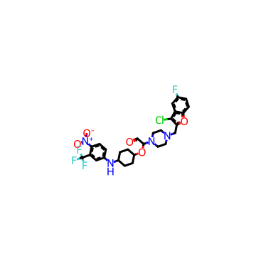 O=CC(OC1CCC(Nc2ccc([N+](=O)[O-])c(C(F)(F)F)c2)CC1)N1CCN(Cc2oc3ccc(F)cc3c2Cl)CC1